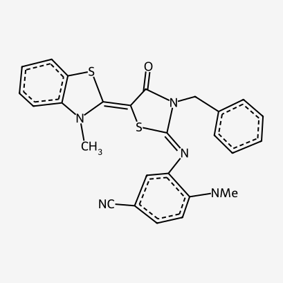 CNc1ccc(C#N)cc1N=C1SC(=C2Sc3ccccc3N2C)C(=O)N1Cc1ccccc1